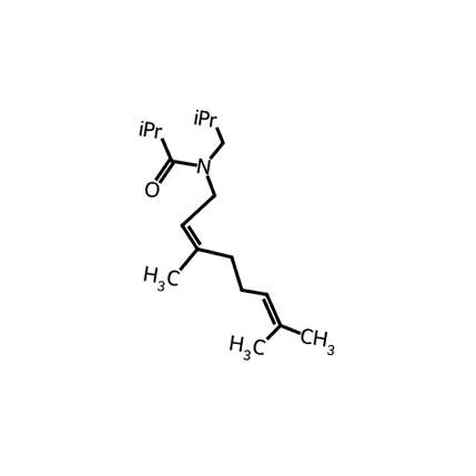 CC(C)=CCC/C(C)=C\CN(CC(C)C)C(=O)C(C)C